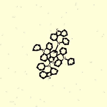 c1ccc(N2c3ccccc3C3(c4ccccc42)c2cc(N(c4ccccc4)c4cccc5sc6ccccc6c45)sc2C2(c4ccccc4N(c4ccccc4)c4ccccc42)c2cc(N(c4ccccc4)c4cccc5sc6ccccc6c45)sc23)cc1